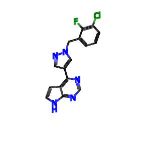 Fc1c(Cl)cccc1Cn1cc(-c2ncnc3[nH]ccc23)cn1